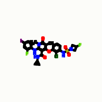 Cc1c(Oc2cccc(NS(=O)(=O)N3CC(F)C3)c2Cl)c(C(=O)NC2CC2)c(Nc2ccc(I)cc2F)n(C)c1=O